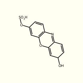 O=S(=O)(O)Oc1ccc2c(c1)OC1=CC(O)C=CC1=N2